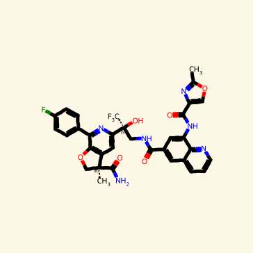 Cc1nc(C(=O)Nc2cc(C(=O)NC[C@](O)(c3cc4c(c(-c5ccc(F)cc5)n3)OC[C@]4(C)C(N)=O)C(F)(F)F)cc3cccnc23)co1